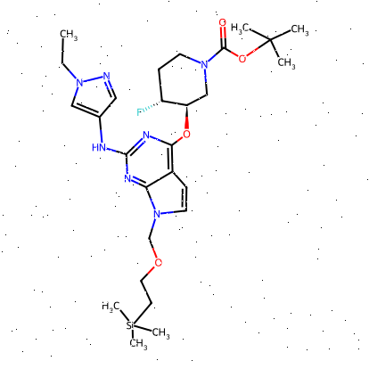 CCn1cc(Nc2nc(O[C@@H]3CN(C(=O)OC(C)(C)C)CC[C@H]3F)c3ccn(COCC[Si](C)(C)C)c3n2)cn1